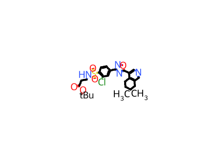 CC1(C)CCc2c(cncc2-c2nc(-c3ccc(S(=O)(=O)NCCC(=O)OC(C)(C)C)c(Cl)c3)no2)C1